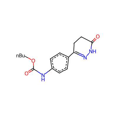 CCCCOC(=O)Nc1ccc(C2=NNC(=O)CC2)cc1